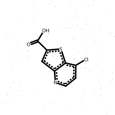 O=C(O)c1cc2nccc(Cl)c2s1